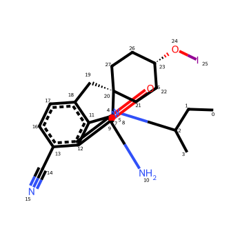 CCC(C)N1C(=O)C2(N=C1N)c1cc(C#N)ccc1C[C@]21CC[C@@H](OI)CC1